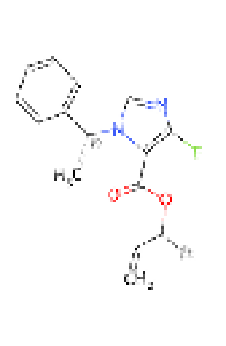 C=CC(CC)OC(=O)c1c(F)ncn1[C@H](C)c1ccccc1